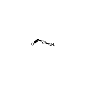 [NH2][Zn][CH]=O